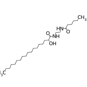 CCCCCCCCCCCCCCCCC(O)C(=O)NCCNC(=O)CCCCC